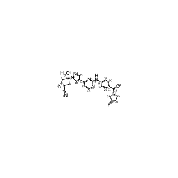 C[C@@](CC#N)(CCC#N)n1cc(-c2ccnc(Nc3ccc(C(=O)N4CCC(F)C4)cc3)n2)cn1